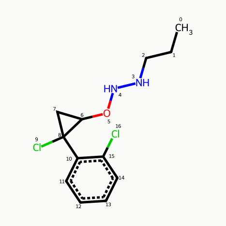 CCCNNOC1CC1(Cl)c1ccccc1Cl